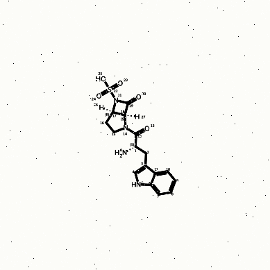 N[C@@H](Cc1c[nH]c2ccccc12)C(=O)N1CC[C@@H]2[C@H]1C(=O)N2S(=O)(=O)O